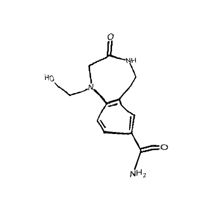 NC(=O)c1ccc2c(c1)CNC(=O)CN2CO